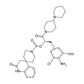 C#Cc1cc(C[C@@H](OC(=O)N2CCC3(CC2)CC(=O)Nc2ccccc23)C(=O)N2CCC(N3CCCCC3)CC2)cc(Cl)c1N